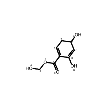 O=C(OCO)C1=CCC(O)C=C1O